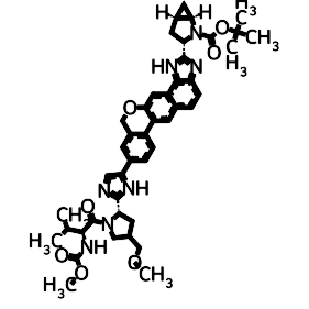 COCC1C[C@@H](c2ncc(-c3ccc4c(c3)COc3cc5c(ccc6nc([C@@H]7C[C@H]8C[C@H]8N7C(=O)OC(C)(C)C)[nH]c65)cc3-4)[nH]2)N(C(=O)[C@@H](NC(=O)OC)C(C)C)C1